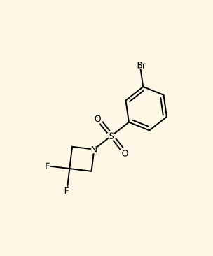 O=S(=O)(c1cccc(Br)c1)N1CC(F)(F)C1